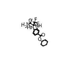 NC(=O)C1(C(F)(F)F)Nc2ccc(C(=O)OC3CCCCC3)cc2N1